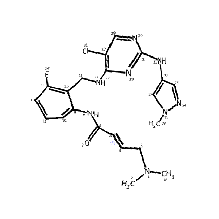 CN(C)C/C=C/C(=O)Nc1cccc(F)c1CNc1nc(Nc2cnn(C)c2)ncc1Cl